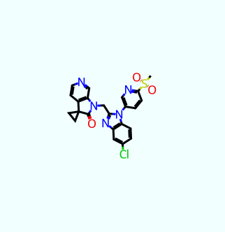 CS(=O)(=O)c1ccc(-n2c(CN3C(=O)C4(CC4)c4ccncc43)nc3cc(Cl)ccc32)cn1